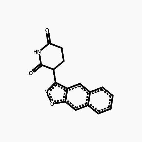 O=C1CCC(c2noc3cc4ccccc4cc23)C(=O)N1